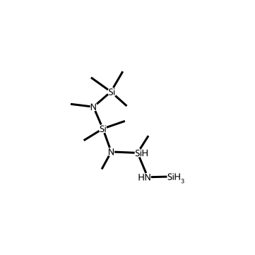 CN([SiH](C)N[SiH3])[Si](C)(C)N(C)[Si](C)(C)C